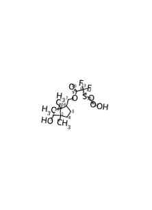 CC1(CO)CCC(COC(=O)C(F)(F)SOOO)C1(C)C